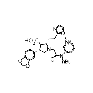 CCCCN(C(=O)CN1C[C@H](c2ccc3c(c2)OCO3)[C@@H](C(=O)O)[C@@H]1CCc1ncco1)c1ccc[n+](C)c1